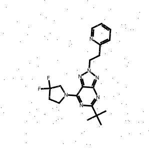 CC(C)(C)c1nc(N2CCC(F)(F)C2)c2nn(CCc3ccccn3)nc2n1